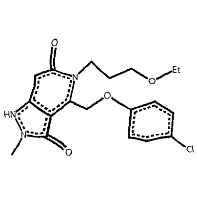 CCOCCCn1c(COc2ccc(Cl)cc2)c2c(=O)n(C)[nH]c2cc1=O